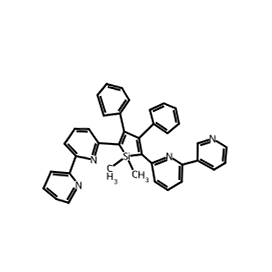 C[Si]1(C)C(c2cccc(-c3cccnc3)n2)=C(c2ccccc2)C(c2ccccc2)=C1c1cccc(-c2ccccn2)n1